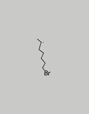 C[CH]CCCCCBr